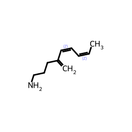 C=C(/C=C\C=C/C)CCCN